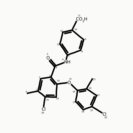 Cc1cc(C(=O)Nc2ccc(C(=O)O)cc2)c(Oc2ccc(Cl)cc2C)cc1Cl